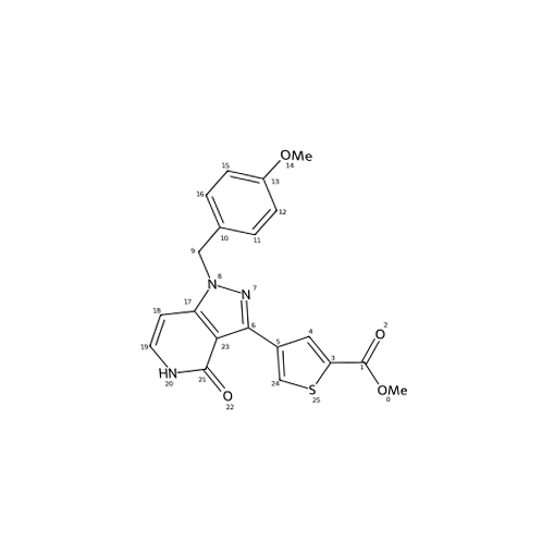 COC(=O)c1cc(-c2nn(Cc3ccc(OC)cc3)c3cc[nH]c(=O)c23)cs1